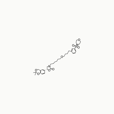 CC1(C)OCc2cc([C@@H]3CN(CCCCCCOCCCCc4cccc(S(=O)(=O)N5CCOCC5)c4)C(=O)O3)ccc2O1